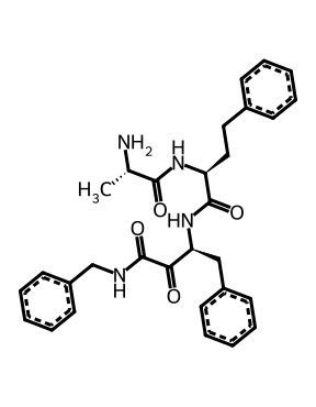 C[C@H](N)C(=O)N[C@@H](CCc1ccccc1)C(=O)N[C@@H](Cc1ccccc1)C(=O)C(=O)NCc1ccccc1